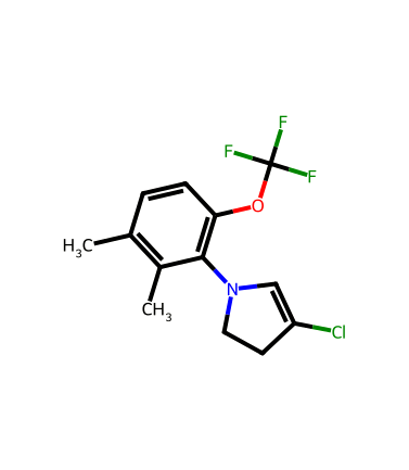 Cc1ccc(OC(F)(F)F)c(N2C=C(Cl)CC2)c1C